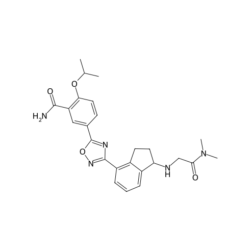 CC(C)Oc1ccc(-c2nc(-c3cccc4c3CCC4NCC(=O)N(C)C)no2)cc1C(N)=O